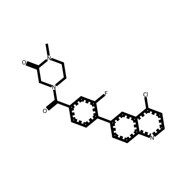 CN1CCN(C(=O)c2ccc(-c3ccc4nccc(Cl)c4c3)c(F)c2)CC1=O